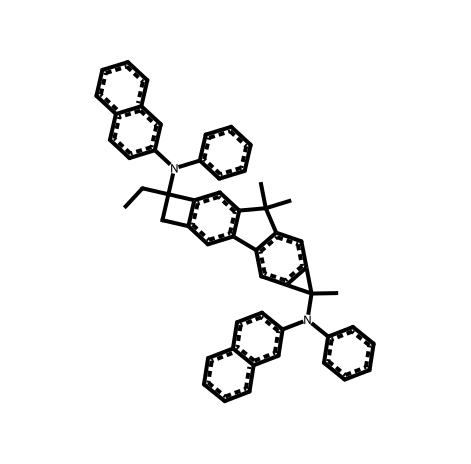 CCC1(N(c2ccccc2)c2ccc3ccccc3c2)Cc2cc3c(cc21)C(C)(C)c1cc2c(cc1-3)C2(C)N(c1ccccc1)c1ccc2ccccc2c1